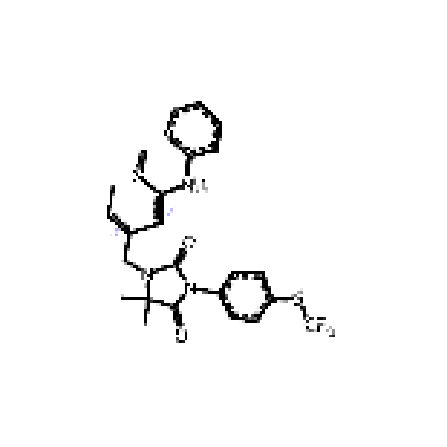 C=N/C(=C\C(=C/C)CN1C(=O)N(c2ccc(SC(F)(F)F)cc2)C(=O)C1(C)C)Nc1ccccn1